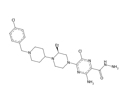 CC[C@H]1CN(c2nc(N)c(C(=O)NN)nc2Cl)CCN1C1CCN(Cc2ccc(Cl)cc2)CC1